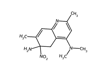 CC1=Cc2nc(C)cc(N(C)C)c2CC1(N)[N+](=O)[O-]